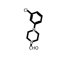 O=CN1CCN(c2cccc(Cl)c2)CC1